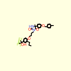 CCCc1cc(C(O)(C(F)(F)F)C(F)(F)F)ccc1OCCCCN1C(=O)NC(C)(c2ccc(OCc3ccc(C)cc3)cc2)C1=O